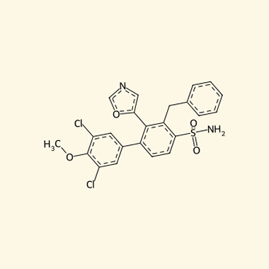 COc1c(Cl)cc(-c2ccc(S(N)(=O)=O)c(Cc3ccccc3)c2-c2cnco2)cc1Cl